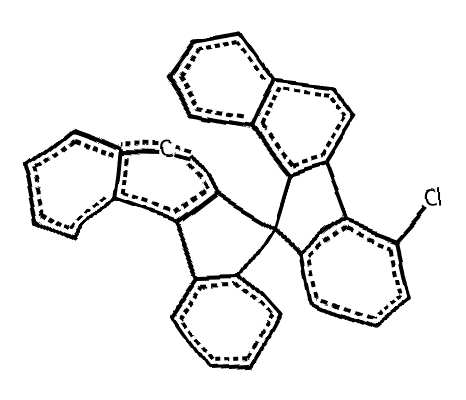 Clc1cccc2c1-c1ccc3ccccc3c1C21c2ccccc2-c2c1ccc1ccccc21